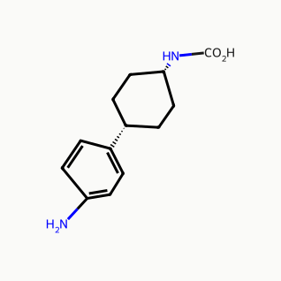 Nc1ccc([C@H]2CC[C@@H](NC(=O)O)CC2)cc1